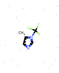 C.FC(F)(F)n1ccnc1